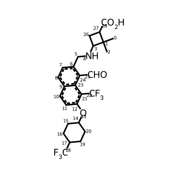 CC1(C)C(NCc2ccc3ccc(OC4CCC(C(F)(F)F)CC4)c(C(F)(F)F)c3c2C=O)CC1C(=O)O